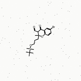 CC1(CCCO[Si](C)(C)C(C)(C)C)Oc2ccc(Br)cc2C(=O)C1C=O